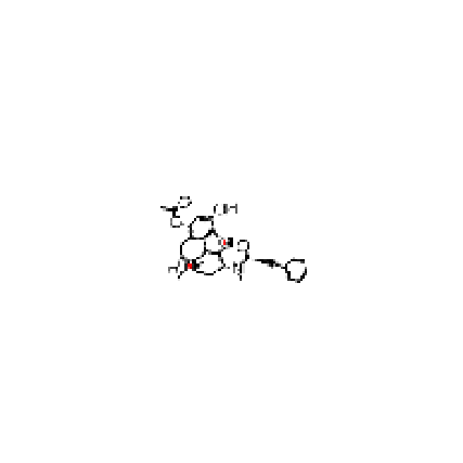 CC(=O)Oc1cc(O)c2c3c1C[C@@H]1[C@@H]4CC[C@@H](N(C)C(=O)C#Cc5ccccc5)[C@H](O2)[C@]34CCN1C